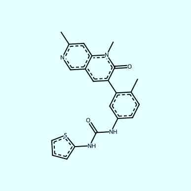 Cc1cc2c(cn1)cc(-c1cc(NC(=O)Nc3cccs3)ccc1C)c(=O)n2C